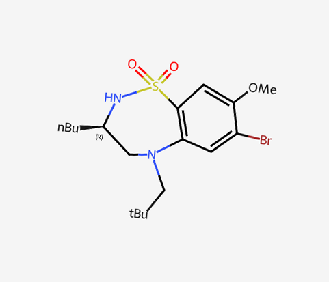 CCCC[C@@H]1CN(CC(C)(C)C)c2cc(Br)c(OC)cc2S(=O)(=O)N1